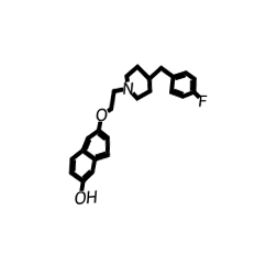 Oc1ccc2cc(OCCN3CCC(Cc4ccc(F)cc4)CC3)ccc2c1